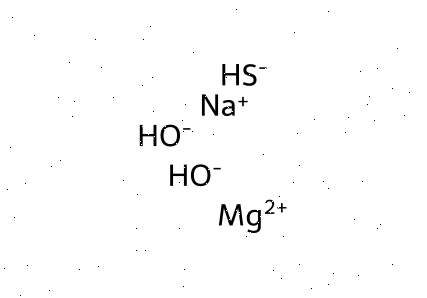 [Mg+2].[Na+].[OH-].[OH-].[SH-]